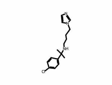 CC(C)(NCCCCn1ccnc1)c1ccc(Cl)cc1